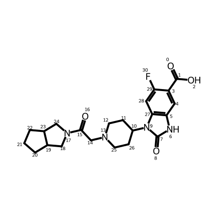 O=C(O)c1cc2[nH]c(=O)n(C3CCN(CC(=O)N4CC5CCCC5C4)CC3)c2cc1F